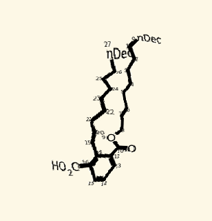 CCCCCCCCCCCCCCCCCCOC(=O)c1cccc(C(=O)O)c1CCCCCCCCCCCCCCCCCC